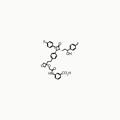 O=C(COC1(CCc2ccc([C@@H]3[C@@H](CC[C@H](O)c4ccc(F)cc4)C(=O)N3c3ccc(F)cc3)cc2)COC1)Nc1cccc(C(=O)O)c1